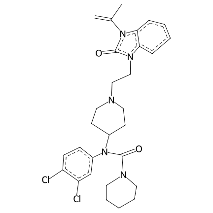 C=C(C)n1c(=O)n(CCN2CCC(N(C(=O)N3CCCCC3)c3ccc(Cl)c(Cl)c3)CC2)c2ccccc21